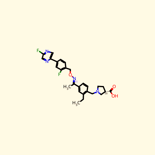 CCc1cc(/C(C)=N/OCc2ccc(-c3cnc(F)cn3)cc2F)ccc1CN1CC[C@H](C(=O)O)C1